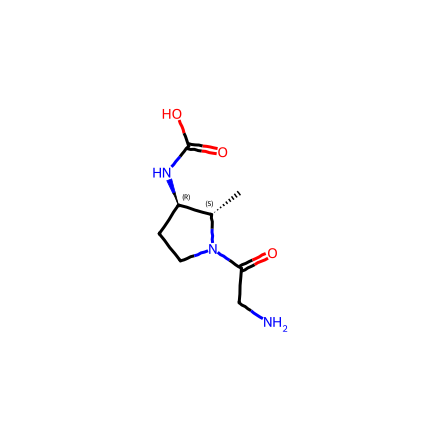 C[C@H]1[C@H](NC(=O)O)CCN1C(=O)CN